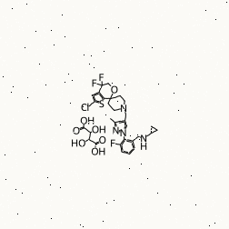 Cc1nn(-c2c(F)cccc2CNC2CC2)cc1CN1CCC2(CC1)OCC(F)(F)c1cc(Cl)sc12.O=C(O)C(O)C(O)C(=O)O